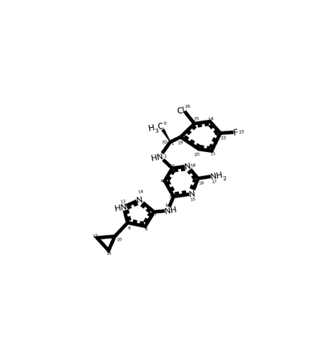 C[C@H](Nc1cc(Nc2cc(C3CC3)[nH]n2)nc(N)n1)c1ccc(F)cc1Cl